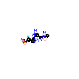 CS(=O)(=O)NCc1cc(F)cc(-c2ccnc3[nH]c(-c4n[nH]c5ccc(-c6cncc(NC(=O)C7CCCC7)c6)cc45)cc23)c1